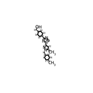 Cc1ccc(Cn2nc(-c3nc(-c4ccc(CO)cc4)no3)cc2C)cc1